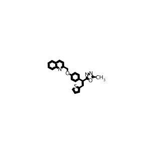 Cc1nnc(/C(=C/c2cccs2)c2ccc(OCc3ccc4ccccc4n3)cc2)o1